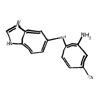 N#Cc1ccc(Nc2ccc3[nH]cnc3c2)c(N)c1